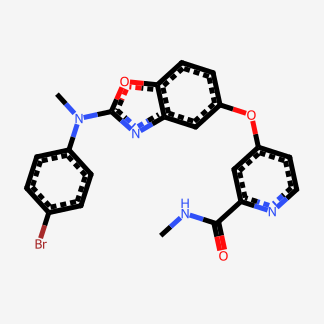 CNC(=O)c1cc(Oc2ccc3oc(N(C)c4ccc(Br)cc4)nc3c2)ccn1